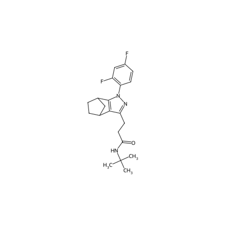 CC(C)(C)NC(=O)CCc1nn(-c2ccc(F)cc2F)c2c1C1CCC2C1